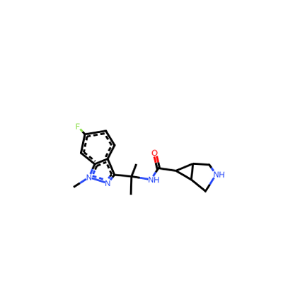 Cn1nc(C(C)(C)NC(=O)C2C3CNCC32)c2ccc(F)cc21